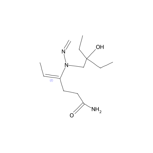 C=NN(CC(O)(CC)CC)/C(=C\C)CCC(N)=O